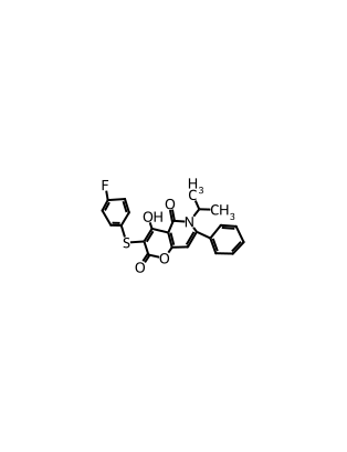 CC(C)n1c(-c2ccccc2)cc2oc(=O)c(Sc3ccc(F)cc3)c(O)c2c1=O